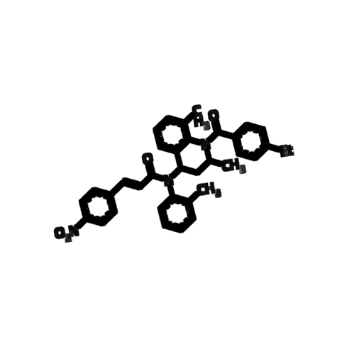 CCc1ccc(C(=O)N2c3c(C)cccc3C(N(C(=O)/C=C/c3ccc([N+](=O)[O-])cc3)c3ccccc3C)CC2C)cc1